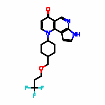 O=c1ccn(C2CCC(COCCC(F)(F)F)CC2)c2c1cnc1[nH]ccc12